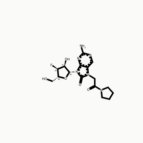 Nc1ncc2c(n1)n([C@@H]1O[C@H](CO)[C@@H](F)[C@H]1O)c(=O)n2CC(=O)N1CCCC1